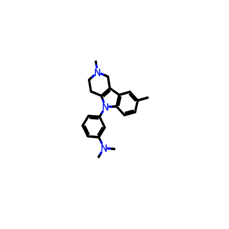 Cc1ccc2c(c1)c1c(n2-c2cccc(N(C)C)c2)CCN(C)C1